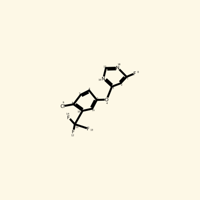 Fc1cc(Oc2ccc(Cl)c(C(F)(F)F)c2)ncn1